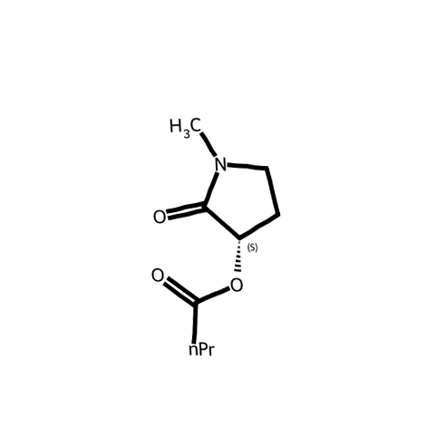 CCCC(=O)O[C@H]1CCN(C)C1=O